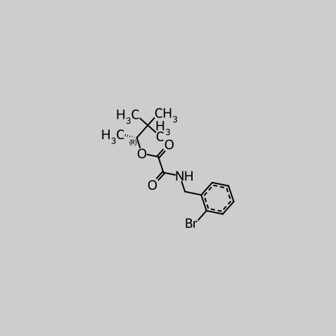 C[C@@H](OC(=O)C(=O)NCc1ccccc1Br)C(C)(C)C